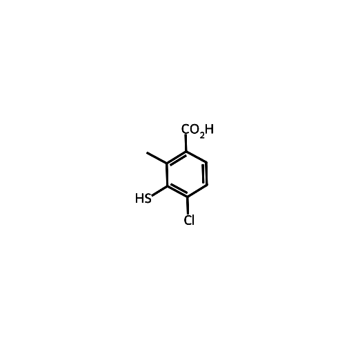 Cc1c(C(=O)O)ccc(Cl)c1S